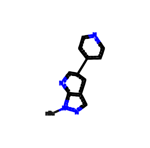 CCCCn1ncc2cc(-c3ccncc3)cnc21